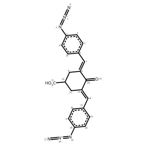 [N-]=[N+]=Nc1ccc(/C=C2\CC(C(=O)O)C/C(=C\c3ccc(N=[N+]=[N-])cc3)C2=O)cc1